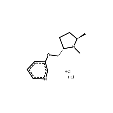 C[C@@H]1CC[C@@H](COc2cccnc2)N1C.Cl.Cl